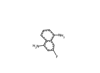 Nc1cc(F)cc2c(N)cccc12